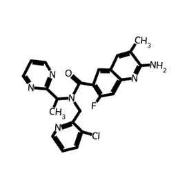 Cc1cc2cc(C(=O)N(Cc3ncccc3Cl)C(C)c3ncccn3)c(F)cc2nc1N